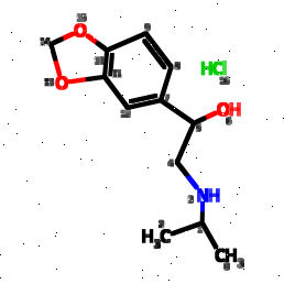 CC(C)NCC(O)c1ccc2c(c1)OCO2.Cl